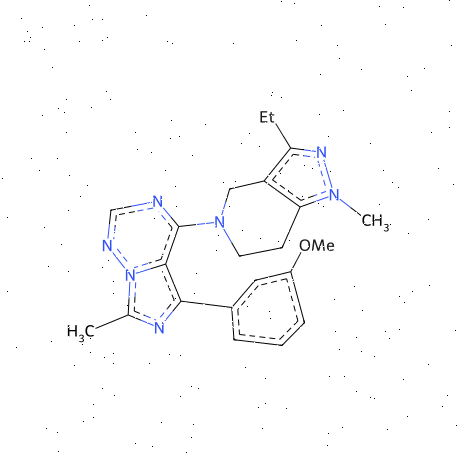 CCc1nn(C)c2c1CN(c1ncnn3c(C)nc(-c4cccc(OC)c4)c13)CC2